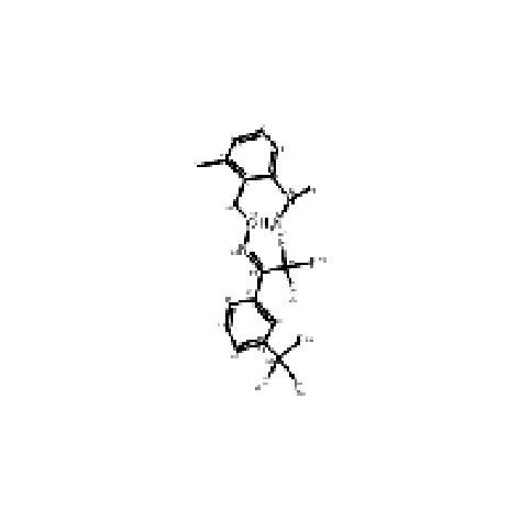 Cc1cccc(N(C)N)c1CON=C(c1cccc(C(F)(F)F)c1)C(F)(F)F